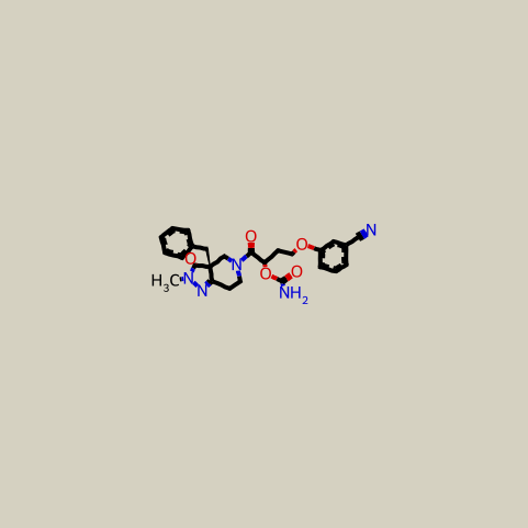 CN1N=C2CCN(C(=O)C(CCOc3cccc(C#N)c3)OC(N)=O)C[C@@]2(Cc2ccccc2)C1=O